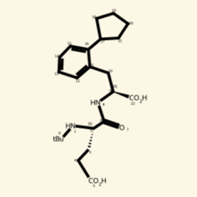 CC(C)(C)N[C@@H](CCC(=O)O)C(=O)N[C@@H](Cc1ccccc1C1CCCC1)C(=O)O